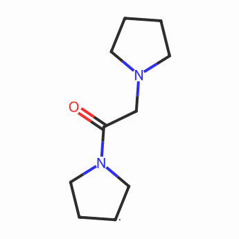 O=C(CN1CCCC1)N1C[CH]CC1